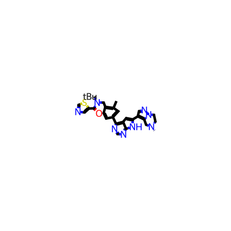 Cc1cc(-c2ncnc3[nH]c(-c4cnn5c4CN(C)CC5)cc23)ccc1CN(C(=O)c1cncs1)C(C)(C)C